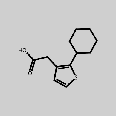 O=C(O)Cc1ccsc1C1CCCCC1